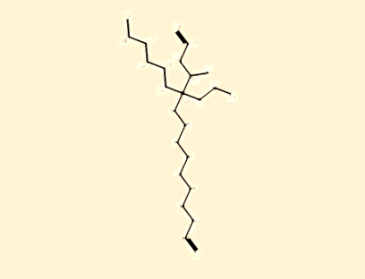 C=CCCCCCCCCC(CCC)(CCCCCC)C(C)CC=C